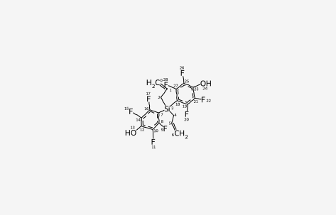 C=CC[Si](CC=C)(c1c(F)c(F)c(O)c(F)c1F)c1c(F)c(F)c(O)c(F)c1F